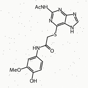 COc1cc(NC(=O)CSc2nc(NC(C)=O)nc3nc[nH]c23)ccc1O